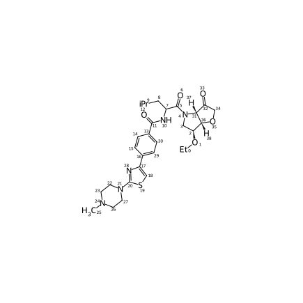 CCO[C@H]1CN(C(=O)C(CC(C)C)NC(=O)c2ccc(-c3csc(N4CCN(C)CC4)n3)cc2)[C@@H]2C(=O)CO[C@H]12